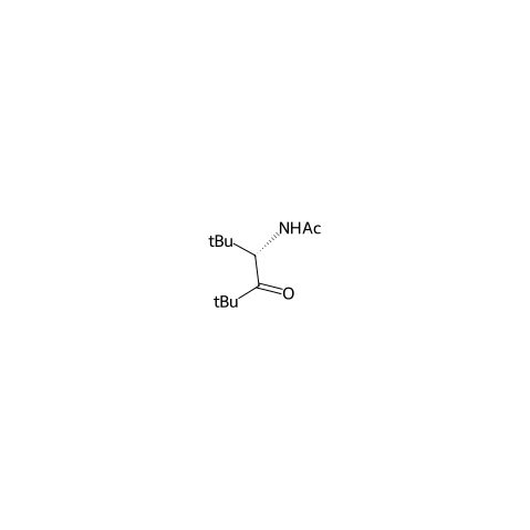 CC(=O)N[C@H](C(=O)C(C)(C)C)C(C)(C)C